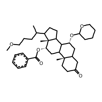 COCCCC(C)C1CCC2C3C(C[C@H](OC(=O)c4ccccc4)[C@]12C)[C@@]1(C)CCC(=O)CC1C[C@H]3OC1CCCCO1